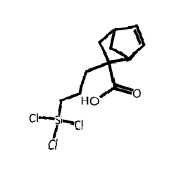 O=C(O)C1(CCC[Si](Cl)(Cl)Cl)CC2C=CC1C2